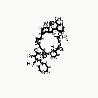 CCn1c(-c2cccnc2[C@H](C)OC)c2c3cc(ccc31)-c1csc(n1)C[C@H](NC(=O)[C@H](C(C)C)N(C)C(=O)N1CCCOCC1)C(=O)N1CCC[C@H](N1)C(=O)OCC(C)(C)C2